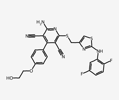 N#Cc1c(N)nc(SCc2csc(Nc3cc(F)ccc3F)n2)c(C#N)c1-c1ccc(OCCO)cc1